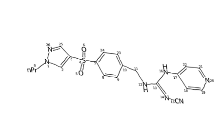 CCCn1cc(S(=O)(=O)c2ccc(CNC(=NC#N)Nc3ccncc3)cc2)cn1